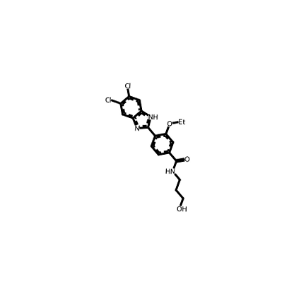 CCOc1cc(C(=O)NCCCO)ccc1-c1nc2cc(Cl)c(Cl)cc2[nH]1